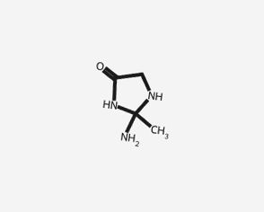 CC1(N)NCC(=O)N1